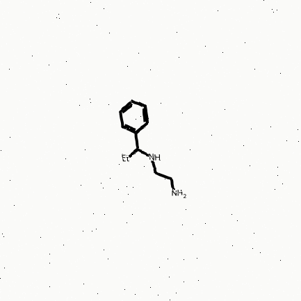 CCC(NCCN)c1ccccc1